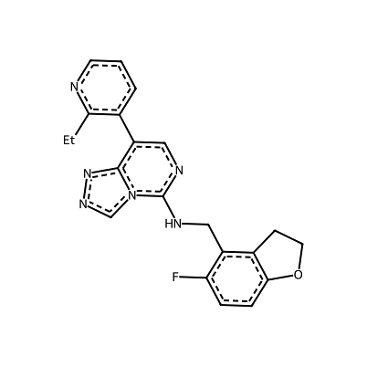 CCc1ncccc1-c1cnc(NCc2c(F)ccc3c2CCO3)n2cnnc12